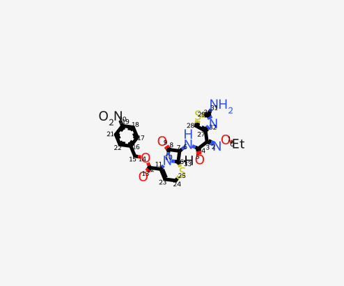 CCO/N=C(/C(=O)NC1C(=O)N2C(C(=O)OCc3ccc([N+](=O)[O-])cc3)=CCS[C@H]12)c1csc(N)n1